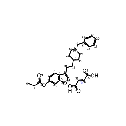 CCC(=O)Oc1ccc2c(CCC3CCN(Cc4ccccc4)CC3)noc2c1.O=C(O)/C=C/C(=O)O